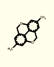 Cc1cc2c3c(c1)OCc1cc(C)cc(c1-3)OC2